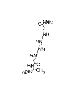 CCCCCCCCCCC(C)NC(=O)CCNCCNCCNCCNCCC(=O)NC